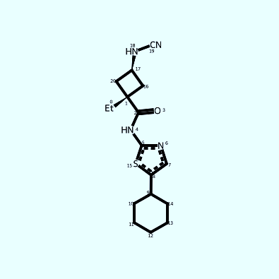 CC[C@]1(C(=O)Nc2ncc(C3CCCCC3)s2)C[C@H](NC#N)C1